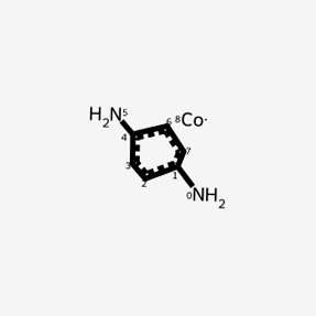 Nc1ccc(N)cc1.[Co]